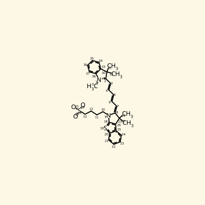 C[N+]1=C(/C=C/C=C/C=C2\N(CCCCS(=O)(=O)[O-])c3sc4ccccc4c3C2(C)C)C(C)(C)c2ccccc21